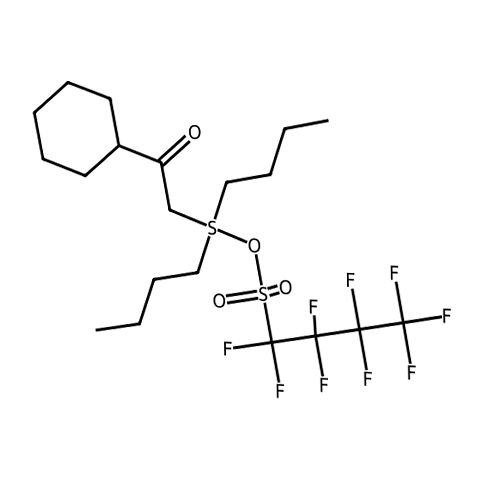 CCCCS(CCCC)(CC(=O)C1CCCCC1)OS(=O)(=O)C(F)(F)C(F)(F)C(F)(F)C(F)(F)F